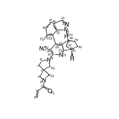 C=CC(=O)N1CC2(CCN(c3nc4c(c(-c5c(C)ccc6cnn(C)c56)c3C#N)[C@@H]3CC[C@H]4C3)C2)C1